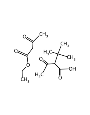 CC(=O)C(C(=O)O)C(C)(C)C.CCOC(=O)CC(C)=O